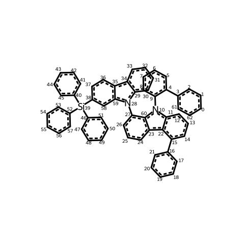 c1ccc(-c2ccccc2-n2c3cccc(-c4ccccc4)c3c3cccc(-n4c5ccccc5c5ccc([Si](c6ccccc6)(c6ccccc6)c6ccccc6)cc54)c32)cc1